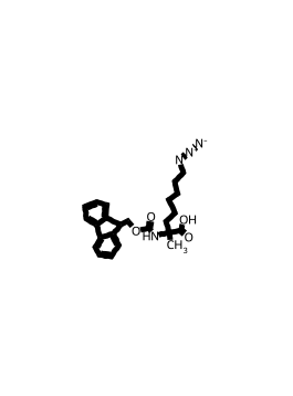 CC(CCCCCCN=[N+]=[N-])(NC(=O)OCC1c2ccccc2-c2ccccc21)C(=O)O